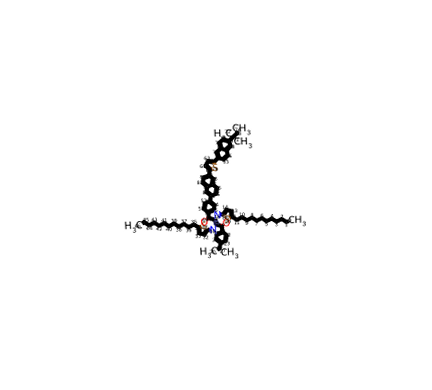 CCCCCCCCCCCCc1ccc(N2/C(=C3\C(=O)c4ccc(C(C)C)cc4N3c3ccc(CCCCCCCCCCCC)s3)C(=O)c3ccc(-c4ccc5cc(-c6ccc(-c7ccc8cc(C(C)(C)CC)ccc8c7)s6)ccc5c4)cc32)s1